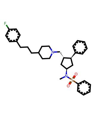 CN([C@H]1C[C@H](CN2CCC(CCCc3ccc(F)cc3)CC2)[C@@H](c2ccccc2)C1)S(=O)(=O)c1ccccc1